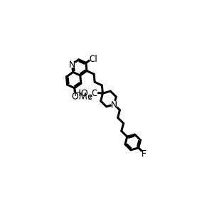 COc1ccc2ncc(Cl)c(CCCC3(C(=O)O)CCN(CCCCc4ccc(F)cc4)CC3)c2c1